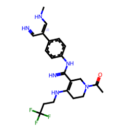 CN/C=C(\C=N)c1ccc(NC(=N)C2=C(NCCC(F)(F)F)CCN(C(C)=O)C2)cc1